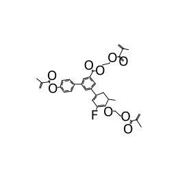 C=C(C)C(=O)OCCOC(=O)c1cc(C2=CC(F)=C(OCCOC(=O)C(=C)C)C(C)C2)cc(-c2ccc(OC(=O)C(=C)C)cc2)c1